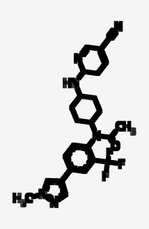 CC(=O)N(c1ccc(-c2cnn(C)c2)cc1C(F)(F)F)C1CCC(NC2CC=C(C#N)C=N2)CC1